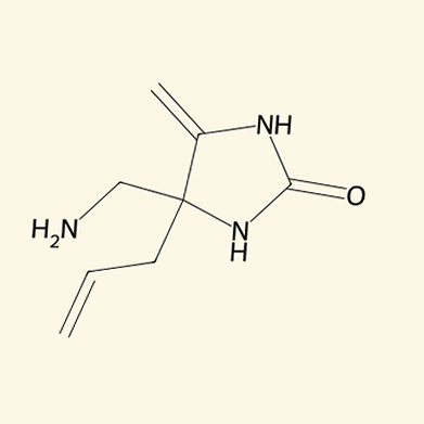 C=CCC1(CN)NC(=O)NC1=C